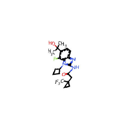 CC(C)(O)c1ccc2nc(NC(=O)CC3(C(F)(F)F)CC3)n(C3CCC3)c2c1F